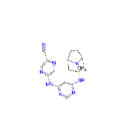 CN1C2CCC1CC(Nc1cc(Nc3cnc(C#N)cn3)ncn1)C2